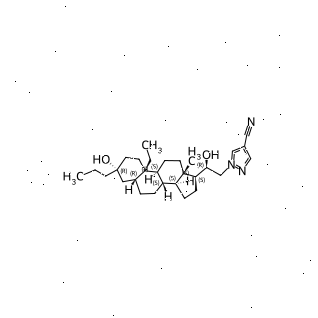 CCC[C@@]1(O)CC[C@@]2(CC)[C@H](CC[C@H]3[C@@H]4CC[C@H]([C@@H](O)Cn5cc(C#N)cn5)[C@@]4(C)CC[C@@H]32)C1